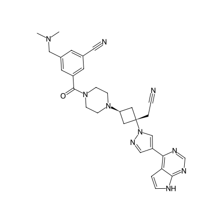 CN(C)Cc1cc(C#N)cc(C(=O)N2CCN([C@H]3C[C@](CC#N)(n4cc(-c5ncnc6[nH]ccc56)cn4)C3)CC2)c1